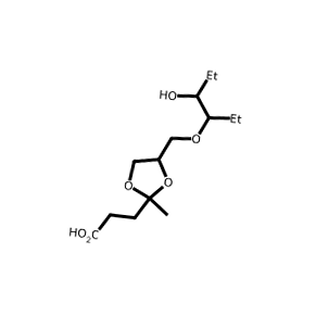 CCC(O)C(CC)OCC1COC(C)(CCC(=O)O)O1